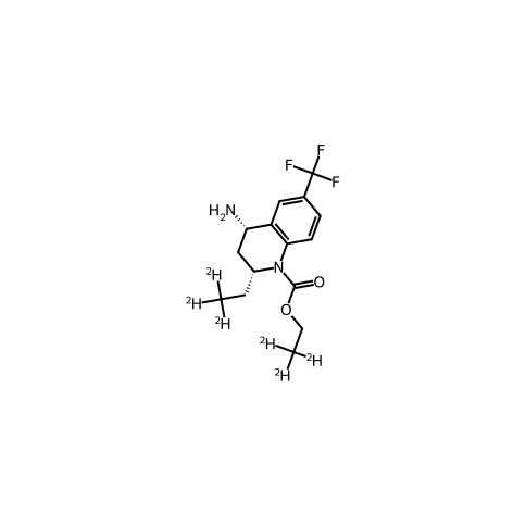 [2H]C([2H])([2H])COC(=O)N1c2ccc(C(F)(F)F)cc2[C@@H](N)C[C@H]1CC([2H])([2H])[2H]